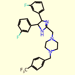 Fc1cccc(C2N=C(CN3CCN(Cc4ccc(C(F)(F)F)cc4)CC3)NC2c2cccc(F)c2)c1